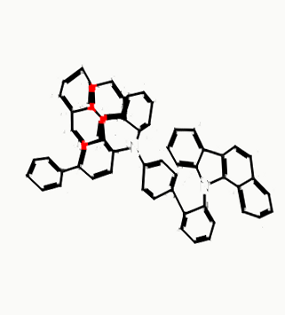 c1ccc(-c2ccc(N(c3ccc(-c4ccccc4-n4c5ccccc5c5ccc6ccccc6c54)cc3)c3ccccc3-c3cccc4ccccc34)c(-c3ccccc3)c2)cc1